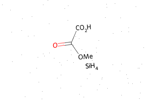 COC(=O)C(=O)O.[SiH4]